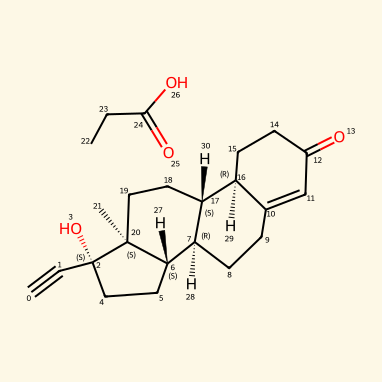 C#C[C@]1(O)CC[C@H]2[C@@H]3CCC4=CC(=O)CC[C@@H]4[C@H]3CC[C@@]21C.CCC(=O)O